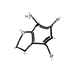 CCc1cc(Br)c(N)c2c1CCO2